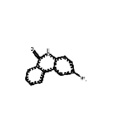 Nc1ccc2[nH]c(=O)c3ccccc3c2c1